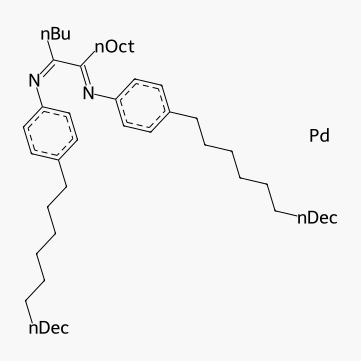 CCCCCCCCCCCCCCCCc1ccc(N=C(CCCC)C(CCCCCCCC)=Nc2ccc(CCCCCCCCCCCCCCCC)cc2)cc1.[Pd]